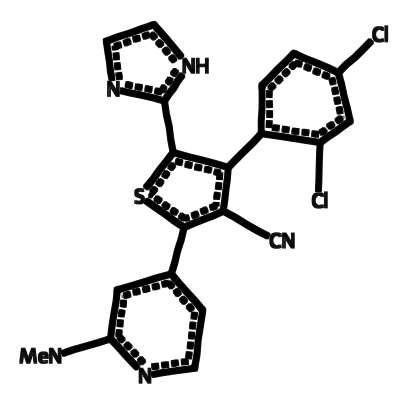 CNc1cc(-c2sc(-c3ncc[nH]3)c(-c3ccc(Cl)cc3Cl)c2C#N)ccn1